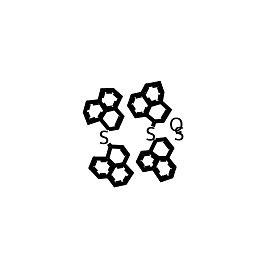 C1=CC(SC2C=Cc3cccc4cccc2c34)c2cccc3cccc1c23.C1=CC(SC2C=Cc3cccc4cccc2c34)c2cccc3cccc1c23.O=S